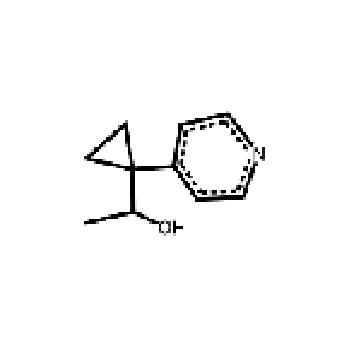 CC(O)C1(c2ccncc2)CC1